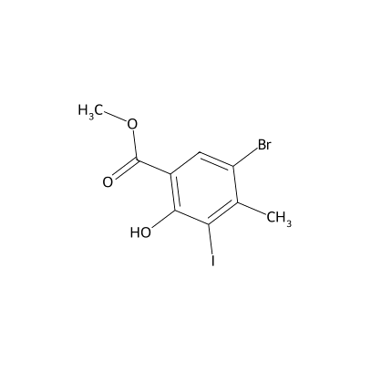 COC(=O)c1cc(Br)c(C)c(I)c1O